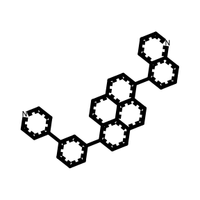 c1cc(-c2ccncc2)cc(-c2ccc3ccc4c(-c5cccc6ncccc56)ccc5ccc2c3c54)c1